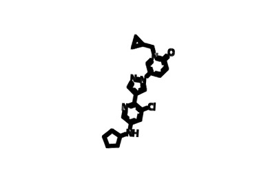 O=c1ccc(-n2cc(-c3ncc(NC4CCCC4)cc3Cl)cn2)cn1CC1CC1